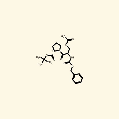 CC(=O)OCC(NC(=O)OCc1ccccc1)C(=O)N1CCC[C@H]1C(=O)OC(C)(C)C